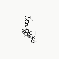 Cc1ccc(CSc2cc(O)c(C(=O)NCC(=O)O)c3ncnn23)cc1